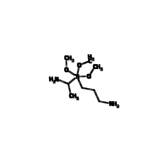 C[O][Ti]([CH2]CCN)([O]C)([O]C)[CH](C)N